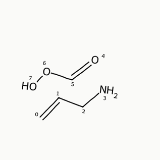 C=CCN.O=COO